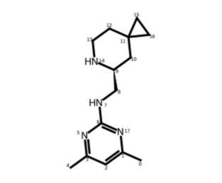 Cc1cc(C)nc(NC[C@@H]2CC3(CCN2)CC3)n1